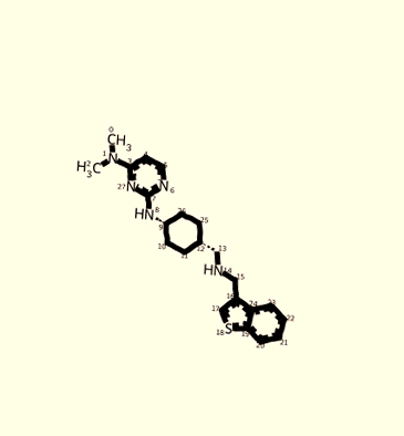 CN(C)c1ccnc(N[C@H]2CC[C@@H](CNCc3csc4ccccc34)CC2)n1